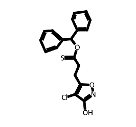 Oc1noc(CCC(=S)OC(c2ccccc2)c2ccccc2)c1Cl